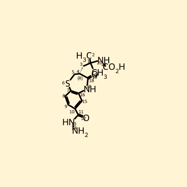 CC(C)(C[C@H]1CSc2ccc(C(=O)NN)cc2NC1=O)NC(=O)O